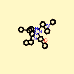 c1ccc(-c2ccc(-c3nc(-c4cc5oc6ccccc6c5cc4-n4c5cc6ccccc6cc5c5c6ccccc6ccc54)nc(-c4cccc5c4c4ccccc4n5-c4ccccc4)n3)cc2)cc1